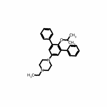 CCN1CCN(c2cc(-c3ccccc3)c(OC(C)C)c(-c3ccccc3)c2)CC1